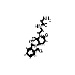 NCC(=O)NCCN1C(=O)CCC(N2C(=O)c3ccccc3C2=O)C1=O